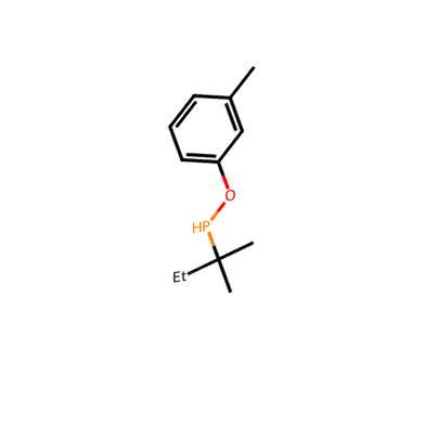 CCC(C)(C)POc1cccc(C)c1